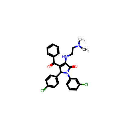 CN(C)CCNC1=C(C(=O)c2ccccc2)C(c2ccc(Cl)cc2)N(c2cccc(Cl)c2)C1=O